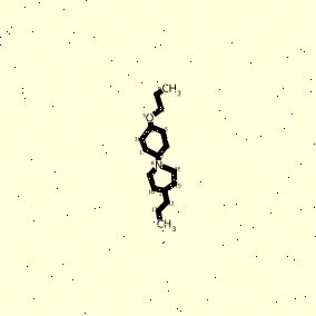 CCCOC1CCC(N2CCC(CCC)CC2)CC1